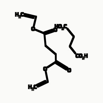 C=COC(=O)CCC(=O)OC=C.O=C(O)CCC(=O)O